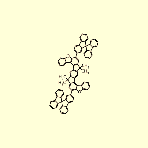 CC1(C)c2cc3c(cc2-c2c1cc(-c1ccc4c(c1)C1(c5ccccc5-c5ccccc51)c1ccccc1-4)c1oc4ccccc4c21)C(C)(C)c1cc(-c2ccc4c(c2)C2(c5ccccc5-c5ccccc52)c2ccccc2-4)c2oc4ccccc4c2c1-3